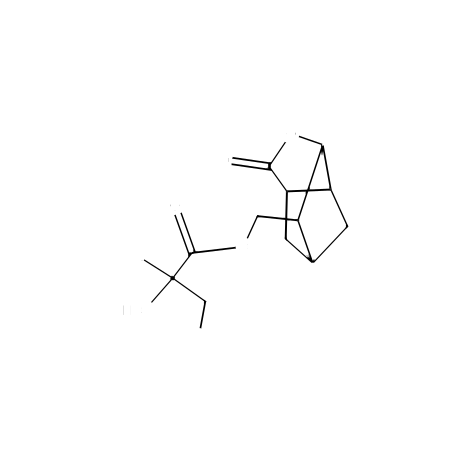 CC(I)(CI)C(=O)OCC1C2CC3C(=O)OC1C3C2